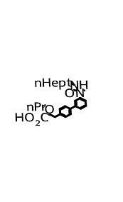 CCCCCCCNC(=O)N(C)c1cccc(-c2ccc(CC(OCCC)C(=O)O)cc2)c1